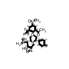 C[C@@H](O[C@H]1OCCN(Cc2nn[nH]c2CN(C)C)[C@H]1c1ccc(F)cc1)c1cc([S+](C)[O-])cc(C(F)(F)F)c1